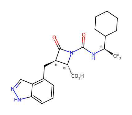 O=C(O)[C@@H]1[C@@H](Cc2cccc3[nH]ncc23)C(=O)N1C(=O)N[C@@H](C1CCCCC1)C(F)(F)F